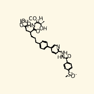 C[C@@H](O)[C@@H](NC(=O)C(CCCc1ccc(-c2ccc(NNC(=O)c3ccc([S+](C)[O-])cc3)nc2)cc1)CC(=O)OC(C)(C)C)C(=O)O